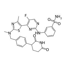 Cc1nc(N(C)Cc2ccc(C3CCC(=O)NC3=O)cc2)sc1-c1nc(Nc2cccc(S(N)(=O)=O)c2)ncc1F